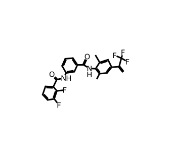 C=C(c1cc(C)c(NC(=O)c2cccc(NC(=O)c3cccc(F)c3F)c2)c(C)c1)C(F)(F)F